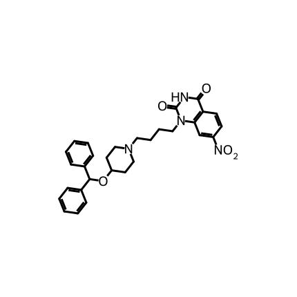 O=c1[nH]c(=O)n(CCCCN2CCC(OC(c3ccccc3)c3ccccc3)CC2)c2cc([N+](=O)[O-])ccc12